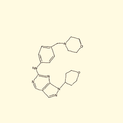 c1cc(Nc2ncc3cnn(C4CCOCC4)c3n2)ccc1CN1CCOCC1